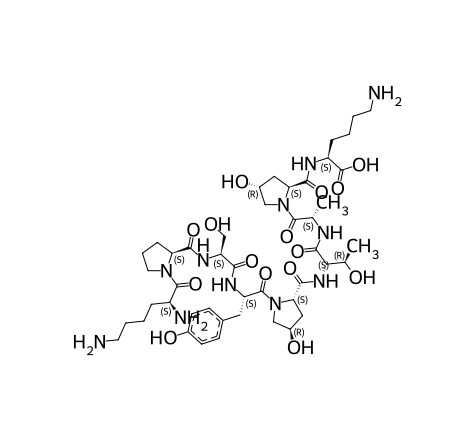 C[C@H](NC(=O)[C@@H](NC(=O)[C@@H]1C[C@@H](O)CN1C(=O)[C@H](Cc1ccc(O)cc1)NC(=O)[C@H](CO)NC(=O)[C@@H]1CCCN1C(=O)[C@@H](N)CCCCN)[C@@H](C)O)C(=O)N1C[C@H](O)C[C@H]1C(=O)N[C@@H](CCCCN)C(=O)O